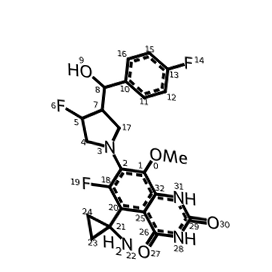 COc1c(N2CC(F)C(C(O)c3ccc(F)cc3)C2)c(F)c(C2(N)CC2)c2c(=O)[nH]c(=O)[nH]c12